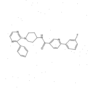 O=C(NC1CCN(c2nccnc2-c2ccccc2)CC1)c1ccc(-c2cccc(F)c2)nc1